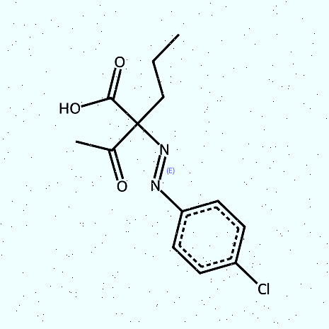 CCCC(/N=N/c1ccc(Cl)cc1)(C(C)=O)C(=O)O